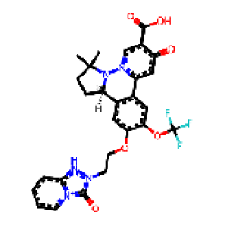 CC1(C)CC[C@@H]2c3cc(OCCn4[nH]c5cccc[n+]5c4=O)c(OC(F)(F)F)cc3-c3cc(=O)c(C(=O)O)cn3N21